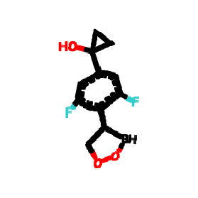 OC1(c2cc(F)c(C3BOOC3)c(F)c2)CC1